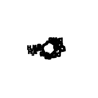 CO[C@@H]1/C=C/C[C@H](C)[C@@H](CC(=O)N(C)C)C(=O)NS(=O)(=O)c2ccc3c(c2)N(C[C@@H]2CC[C@H]21)C[C@@]1(CCCc2cc(Cl)ccc21)CO3